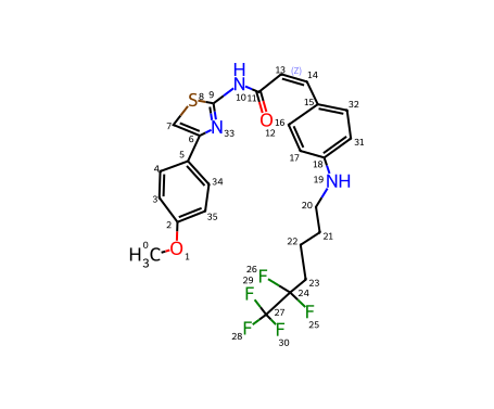 COc1ccc(-c2csc(NC(=O)/C=C\c3ccc(NCCCCC(F)(F)C(F)(F)F)cc3)n2)cc1